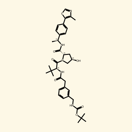 Cc1ncsc1-c1ccc([C@H](C)NC(=O)[C@@H]2C[C@@H](O)CN2C(=O)[C@@H](NC(=O)Cc2cccc(CNC(=O)OC(C)(C)C)c2)C(C)(C)C)cc1